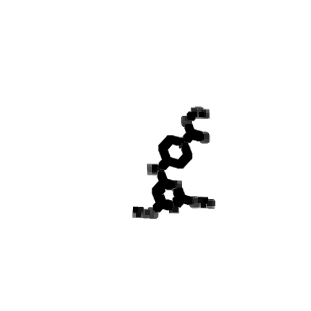 COc1cc(NC2CCN(C(=O)OC(C)(C)C)CC2)nc(OC)n1